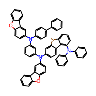 c1ccc(-c2ccc(N(c3cccc(N(c4ccc5c(c4)sc4cccc(N(c6ccccc6)c6ccccc6)c45)c4ccc5oc6ccccc6c5c4)c3)c3ccc4oc5ccccc5c4c3)cc2)cc1